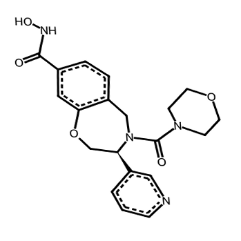 O=C(NO)c1ccc2c(c1)OC[C@H](c1cccnc1)N(C(=O)N1CCOCC1)C2